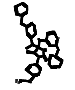 CC(c1ccnc(Cc2ccccc2)c1)C1(C(C)c2ccnc(Cc3ccccc3)c2)NC(=O)N(c2ccc(SC(F)(F)F)cc2)C1=O